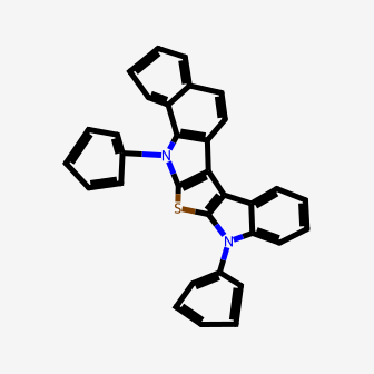 c1ccc(-n2c3ccccc3c3c4c5ccc6ccccc6c5n(-c5ccccc5)c4sc32)cc1